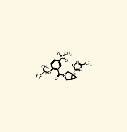 C[C@@H](Oc1ccc(S(C)(=O)=O)cc1C(=O)N1CC2C[C@]2(c2nc(C(F)(F)F)no2)C1)C(F)(F)F